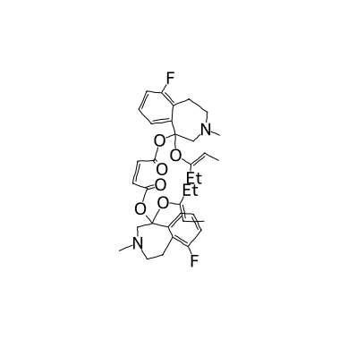 CC=C(CC)OC1(OC(=O)/C=C\C(=O)OC2(OC(=CC)CC)CN(C)CCc3c(F)cccc32)CN(C)CCc2c(F)cccc21